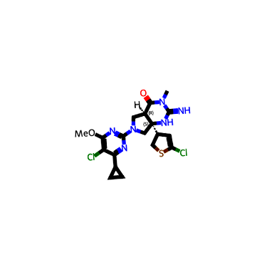 COc1nc(N2C[C@H]3C(=O)N(C)C(=N)N[C@@]3(C3C=C(Cl)SC3)C2)nc(C2CC2)c1Cl